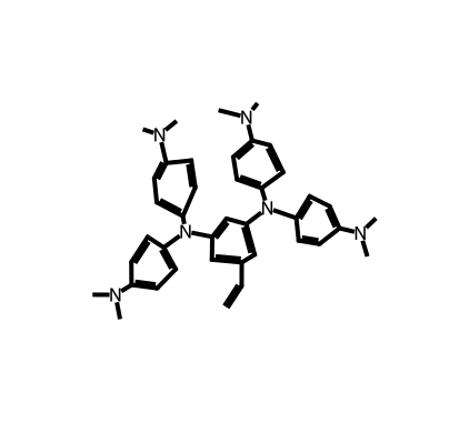 C=Cc1cc(N(c2ccc(N(C)C)cc2)c2ccc(N(C)C)cc2)cc(N(c2ccc(N(C)C)cc2)c2ccc(N(C)C)cc2)c1